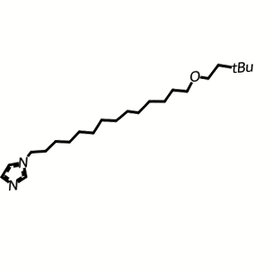 CC(C)(C)CCOCCCCCCCCCCCCCCn1ccnc1